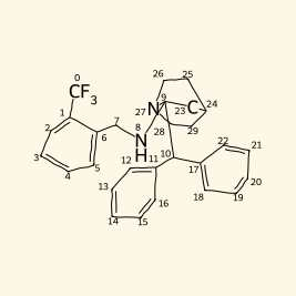 FC(F)(F)c1ccccc1CNC1(C(c2ccccc2)c2ccccc2)CC2CCN1CC2